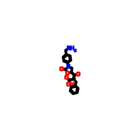 NCc1ccc(N2CC(C(=O)[C@@H](Cc3ccccc3)C(=O)O)OC2=O)cc1